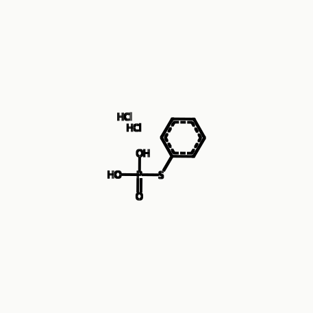 Cl.Cl.O=P(O)(O)Sc1ccccc1